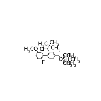 COc1ccc(F)c(-c2ccc(CO[Si](C)(C)C(C)(C)C)cc2C(Cl)C(C)(C)C)c1